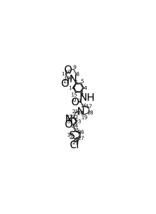 O=C(Nc1ccc(N2CCOCC2=O)cc1)[C@H]1CCCN1Cc1cc(-c2ccc(Cl)s2)on1